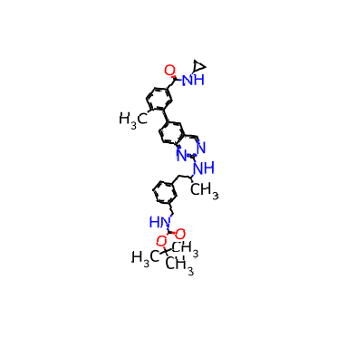 Cc1ccc(C(=O)NC2CC2)cc1-c1ccc2nc(N[C@@H](C)Cc3cccc(CNC(=O)OC(C)(C)C)c3)ncc2c1